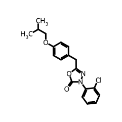 CC(C)COc1ccc(Cc2nn(-c3ccccc3Cl)c(=O)o2)cc1